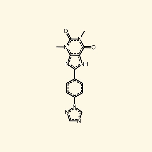 Cn1c(=O)c2[nH]c(-c3ccc(-n4cncn4)cc3)nc2n(C)c1=O